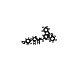 COc1ccc(C2=CSC(N/N=C/c3cc4c([nH]c5ccccc54)c(-c4ccccc4Cl)n3)N2)cc1